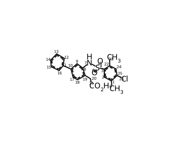 Cc1cc(S(=O)(=O)Nc2cc(-c3ccccc3)ccc2CC(=O)O)c(C)cc1Cl